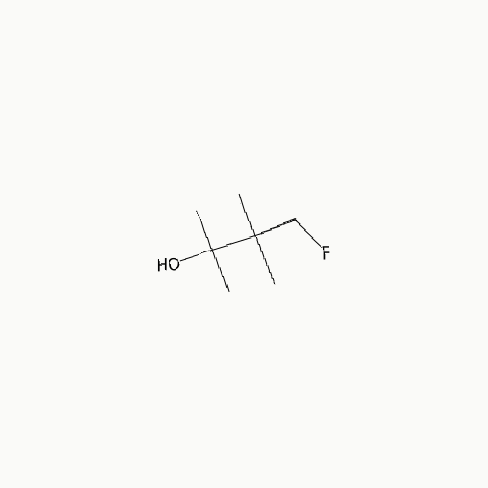 CC(C)(O)C(C)(C)CF